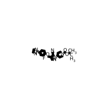 CC(C)OC(=O)N1CCC(n2ncc(COc3ccc(-n4nccn4)cc3F)c2C#N)CC1